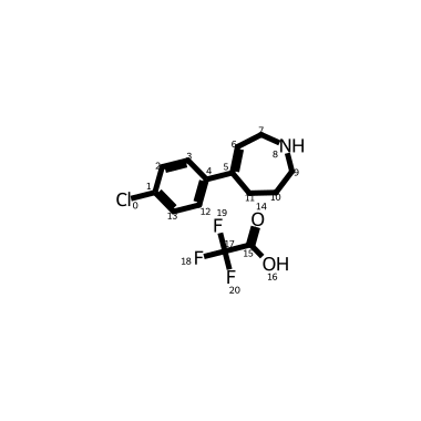 Clc1ccc(C2=CCNCCC2)cc1.O=C(O)C(F)(F)F